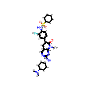 CC(C)n1c(=O)c(-c2ccc(NS(=O)(=O)C3CCCCC3)c(F)c2)cc2cnc(N[C@H]3CC[C@H](N(C)C)CC3)nc21